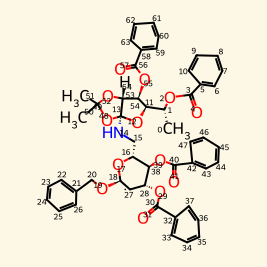 C[C@@H](OC(=O)c1ccccc1)[C@H]1O[C@@]2(NC[C@H]3O[C@H](OCc4ccccc4)[CH][C@@H](OC(=O)c4ccccc4)[C@@H]3OC(=O)c3ccccc3)OC(C)(C)O[C@@H]2[C@H]1OC(=O)c1ccccc1